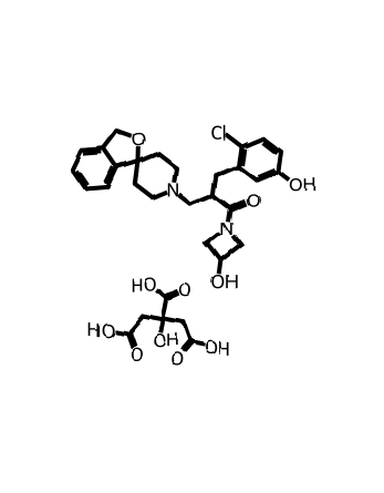 O=C(C(Cc1cc(O)ccc1Cl)CN1CCC2(CC1)OCc1ccccc12)N1CC(O)C1.O=C(O)CC(O)(CC(=O)O)C(=O)O